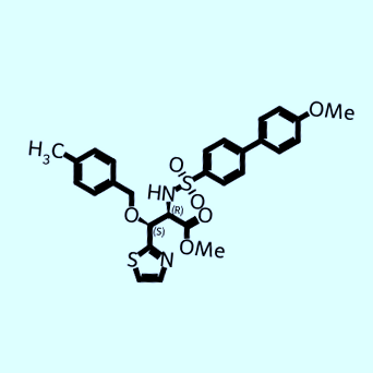 COC(=O)[C@H](NS(=O)(=O)c1ccc(-c2ccc(OC)cc2)cc1)[C@H](OCc1ccc(C)cc1)c1nccs1